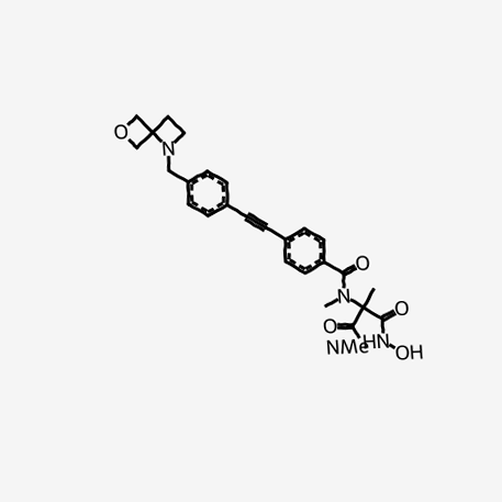 CNC(=O)C(C)(C(=O)NO)N(C)C(=O)c1ccc(C#Cc2ccc(CN3CCC34COC4)cc2)cc1